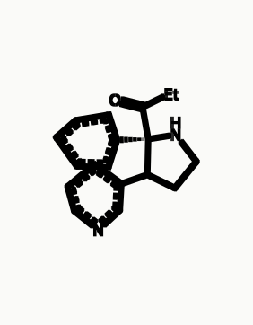 [CH2]CC(=O)[C@@]1(c2ccccc2)NCCC1c1cccnc1